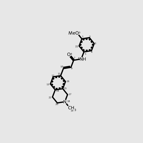 COc1cccc(NC(=O)C=Cc2ccc3c(c2)CN(C)CC3)c1